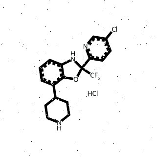 Cl.FC(F)(F)C1(c2ccc(Cl)cn2)Nc2cccc(C3CCNCC3)c2O1